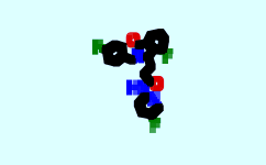 O=C(CCC1c2c(F)cccc2C(=O)N1Cc1ccc(F)cc1)Nc1ccc(F)cn1